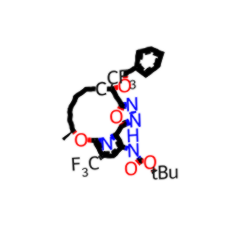 C[C@H]1CCCCC[C@](OCc2ccccc2)(C(F)(F)F)c2nnc(o2)-c2nc(c(C(F)(F)F)cc2NC(=O)OC(C)(C)C)O1